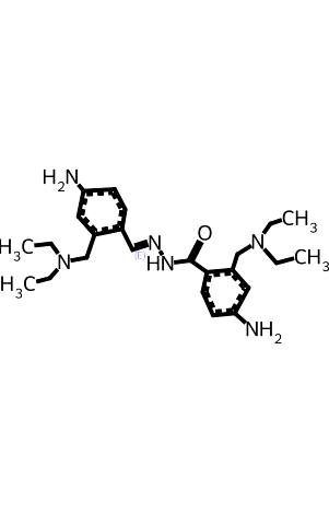 CCN(CC)Cc1cc(N)ccc1/C=N/NC(=O)c1ccc(N)cc1CN(CC)CC